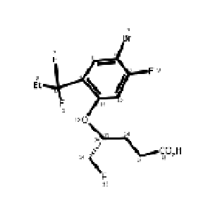 CCC(F)(F)c1cc(Br)c(F)cc1O[C@@H](CF)CCC(=O)O